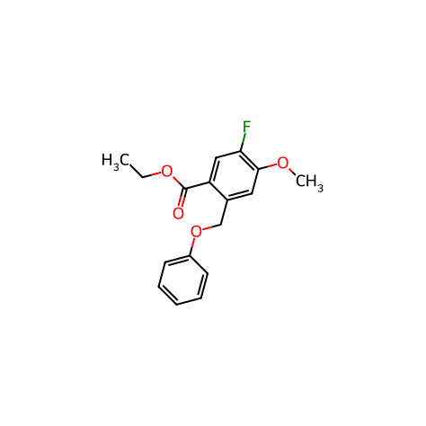 CCOC(=O)c1cc(F)c(OC)cc1COc1ccccc1